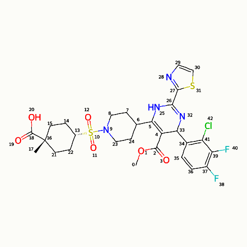 COC(=O)C1=C(C2CCN(S(=O)(=O)[C@H]3CC[C@@](C)(C(=O)O)CC3)CC2)NC(c2nccs2)=NC1c1ccc(F)c(F)c1Cl